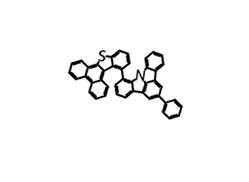 c1ccc(-c2cc3c4ccccc4n4c5c(-c6cccc7sc8c9ccccc9c9ccccc9c8c67)cccc5c(c2)c34)cc1